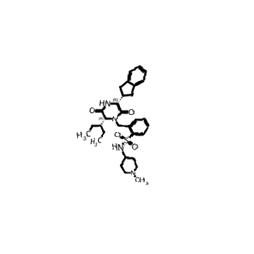 CCC(CC)[C@@H]1C(=O)N[C@H](C2Cc3ccccc3C2)C(=O)N1Cc1ccccc1S(=O)(=O)NC1CCN(C)CC1